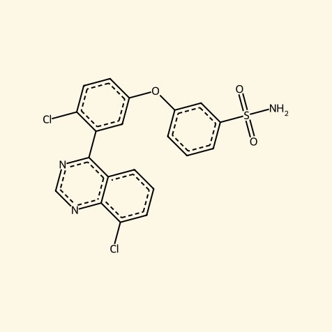 NS(=O)(=O)c1cccc(Oc2ccc(Cl)c(-c3ncnc4c(Cl)cccc34)c2)c1